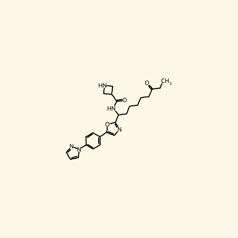 CCC(=O)CCCCCC(NC(=O)C1CNC1)c1ncc(-c2ccc(-n3cccn3)cc2)o1